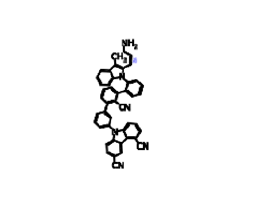 Cc1c(/C=C\CN)n(-c2ccccc2-c2cccc(-c3cccc(-n4c5ccc(C#N)cc5c5c(C#N)cccc54)c3)c2C#N)c2ccccc12